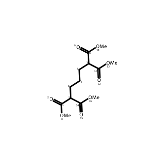 COC(=O)C(CCCC(C(=O)OC)C(=O)OC)C(=O)OC